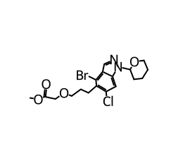 COC(=O)COCCCc1c(Cl)cc2c(cnn2C2CCCCO2)c1Br